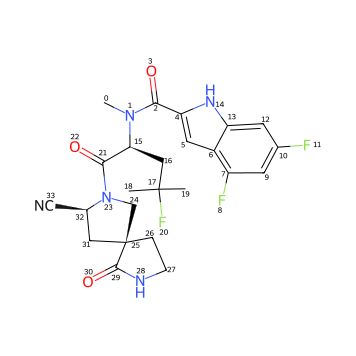 CN(C(=O)c1cc2c(F)cc(F)cc2[nH]1)[C@@H](CC(C)(C)F)C(=O)N1C[C@]2(CCNC2=O)C[C@H]1C#N